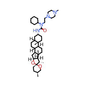 C[C@H]1CC[C@@]2(OC1)O[C@H]1C[C@H]3[C@@H]4CC[C@@H]5C[C@H](NC(=O)N(CCN6CCN(C)CC6)C6CCCCC6)CC[C@]5(C)[C@H]4CC[C@]3(C)[C@H]1[C@@H]2C